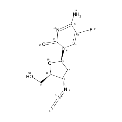 [N-]=[N+]=N[C@H]1C[C@H](n2cc(F)c(N)nc2=O)O[C@@H]1CO